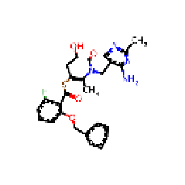 CC(=C(CCO)SC(=O)c1c(F)cccc1OCc1ccccc1)N(C=O)Cc1cnc(C)nc1N